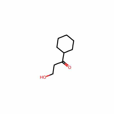 O=C(CCO)C1CCCCC1